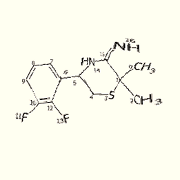 CC1(C)SCC(c2cccc(F)c2F)NC1=N